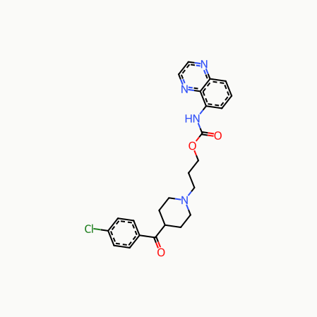 O=C(Nc1cccc2nccnc12)OCCCN1CCC(C(=O)c2ccc(Cl)cc2)CC1